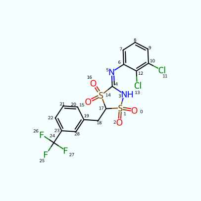 O=S1(=O)NC(=Nc2cccc(Cl)c2Cl)S(=O)(=O)C1Cc1cccc(C(F)(F)F)c1